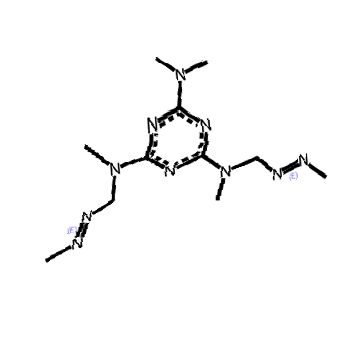 C/N=N/CN(C)c1nc(N(C)C)nc(N(C)C/N=N/C)n1